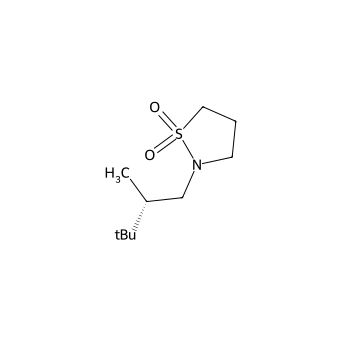 C[C@H](CN1CCCS1(=O)=O)C(C)(C)C